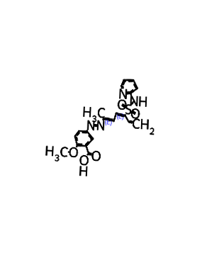 C=C/C(=C\C=C(/C)N=Nc1ccc(OC)c(C(=O)O)c1)S(=O)(=O)Nc1ccccn1